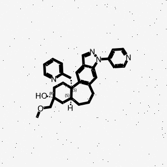 COC[C@@]1(O)CC[C@@]2(Cc3ccccn3)c3cc4cnn(-c5ccncc5)c4cc3CCC[C@H]2C1